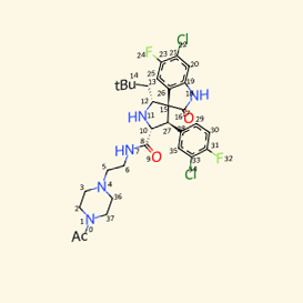 CC(=O)N1CCN(CCNC(=O)[C@@H]2N[C@H](CC(C)(C)C)[C@]3(C(=O)Nc4cc(Cl)c(F)cc43)[C@H]2c2ccc(F)c(Cl)c2)CC1